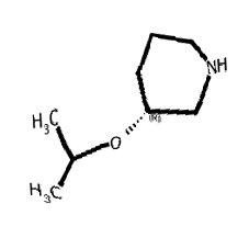 CC(C)O[C@@H]1CCCNC1